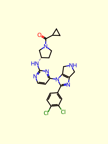 O=C(C1CC1)N1CC[C@H](Nc2nccc(-n3c(-c4ccc(Cl)c(Cl)c4)nc4c3CNC4)n2)C1